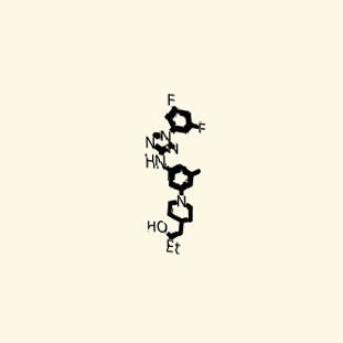 CCC(O)CC1CCN(c2cc(C)cc(Nc3ncn(-c4cc(F)cc(F)c4)n3)c2)CC1